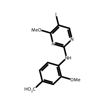 COc1cc(C(=O)O)ccc1Nc1ncc(I)c(OC)n1